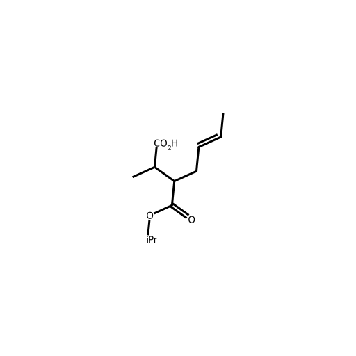 CC=CCC(C(=O)OC(C)C)C(C)C(=O)O